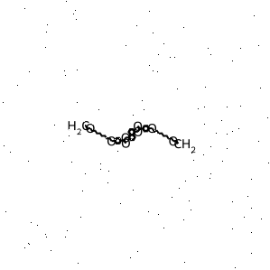 C=COCCCCCCCCOc1ccc(C(=O)Oc2cccc3c(OC(=O)c4ccc(OCCCCCCCCOC=C)cc4)cccc23)cc1